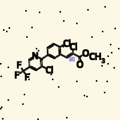 COC(=O)/C(Cl)=C/c1cc(-c2ncc(C(F)(F)F)cc2Cl)ccc1Cl